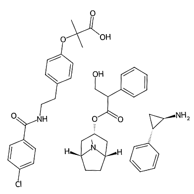 CC(C)(Oc1ccc(CCNC(=O)c2ccc(Cl)cc2)cc1)C(=O)O.CN1[C@@H]2CC[C@H]1C[C@@H](OC(=O)C(CO)c1ccccc1)C2.N[C@@H]1C[C@H]1c1ccccc1